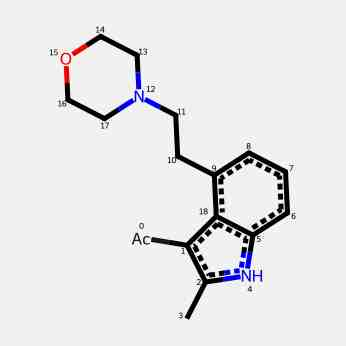 CC(=O)c1c(C)[nH]c2cccc(CCN3CCOCC3)c12